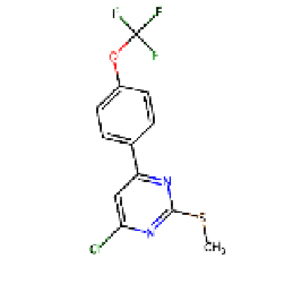 CSc1nc(Cl)cc(-c2ccc(OC(F)(F)F)cc2)n1